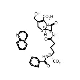 O=C(CCC[C@@H](NC(=O)c1ccccc1)C(=O)O)N[C@@H]1C(=O)N2C(C(=O)O)=C(CO)CS[C@H]12.c1ccc2ncccc2c1